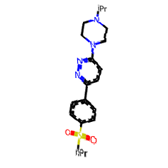 CCCS(=O)(=O)c1ccc(-c2ccc(N3CCN(C(C)C)CC3)nn2)cc1